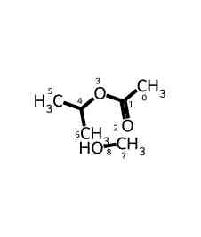 CC(=O)OC(C)C.CO